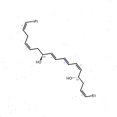 CC/C=C\C[C@H](O)\C=C/C=C/C=C/[C@@H](O)C/C=C\C/C=C\CCC